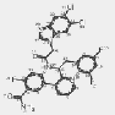 NC(=O)c1cc(-c2cccnc2[C@H](Cc2cc(F)cc(F)c2)NC(=O)Cn2cnc3cc(Cl)c(Cl)cc32)ccc1F